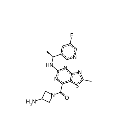 Cc1nc2nc(N[C@@H](C)c3cncc(F)c3)nc(C(=O)N3CC(N)C3)c2s1